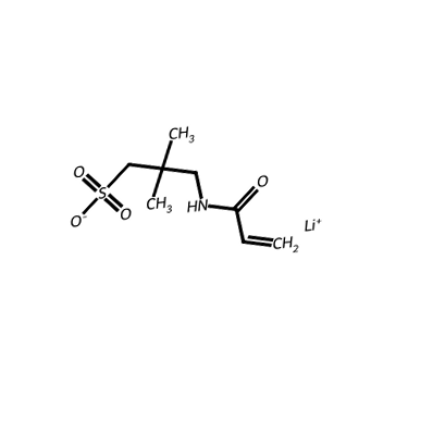 C=CC(=O)NCC(C)(C)CS(=O)(=O)[O-].[Li+]